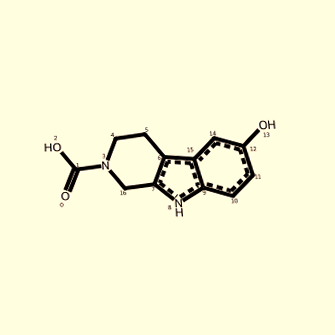 O=C(O)N1CCc2c([nH]c3ccc(O)cc23)C1